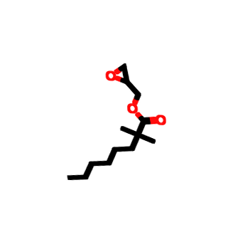 CCCCCCC(C)(C)C(=O)OCC1CO1